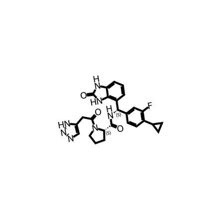 O=C(N[C@@H](c1ccc(C2CC2)c(F)c1)c1cccc2[nH]c(=O)[nH]c12)[C@@H]1CCCN1C(=O)Cc1cnn[nH]1